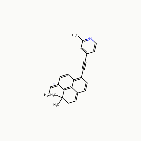 C/C=c1/ccc2c(C#Cc3ccnc(C)c3)ccc3c2c1C(C)(C)CC=3